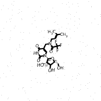 CC(C)=CCN(Cc1cn([C@@H]2O[C@H](CO)C(O)[C@@H]2O)c(=O)[nH]c1=O)C(=O)C(F)(F)F